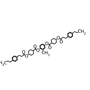 CCCc1ccc(CCC(=O)OC2CCC(C(=O)Oc3ccc(OC(=O)C4CCC(OC(=O)CCc5ccc(CCC)cc5)CC4)c(C)c3)CC2)cc1